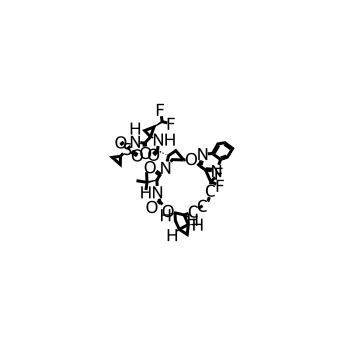 CC(C)(C)[C@@H]1NC(=O)O[C@@H]2C[C@@H]3C[C@@H]3[C@H]2CCCCC(F)(F)c2nc3ccccc3nc2OC2C[C@@H](C(=O)N[C@]3(C(=O)NS(=O)(=O)C4CC4)C[C@H]3C(F)F)N(C2)C1=O